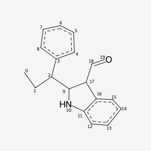 CCC(c1ccccc1)C1Nc2ccccc2C1C=O